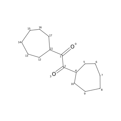 O=C(C(=O)C1CCCCCC1)C1CCCCCC1